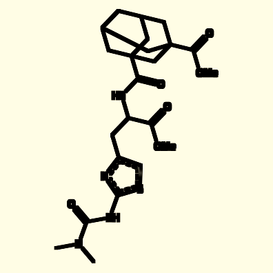 COC(=O)C(Cc1csc(NC(=O)N(C)C)n1)NC(=O)C12CC3CC(C1)CC(C(=O)OC)(C3)C2